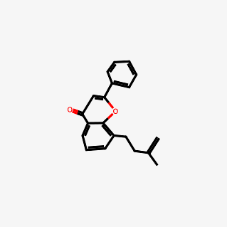 C=C(C)CCc1cccc2c(=O)cc(-c3ccccc3)oc12